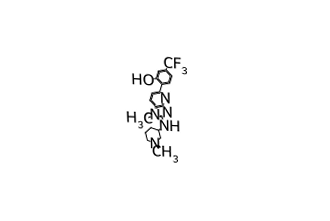 CN1CCC[C@@H](Nc2nc3nc(-c4ccc(C(F)(F)F)cc4O)ccc3n2C)C1